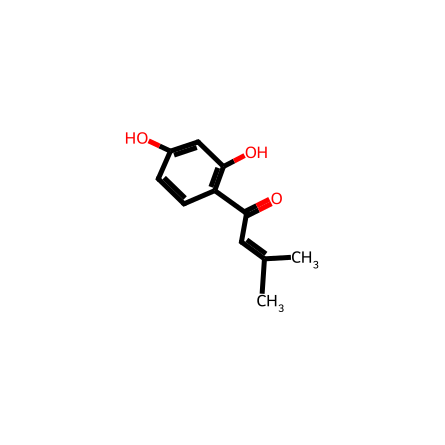 CC(C)=CC(=O)c1ccc(O)cc1O